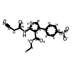 CCOC(=O)c1c(-c2ccc([N+](=O)[O-])cc2)csc1NC(=O)CC#N